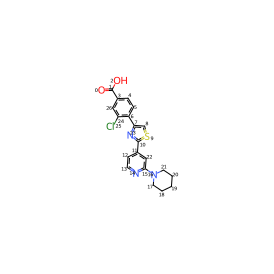 O=C(O)c1ccc(-c2csc(-c3ccnc(N4CCCCC4)c3)n2)c(Cl)c1